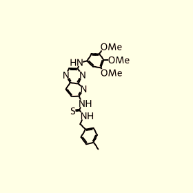 COc1cc(Nc2cnc3ccc(NC(=S)NCc4ccc(C)cc4)nc3n2)cc(OC)c1OC